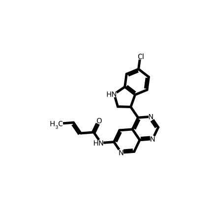 CC=CC(=O)Nc1cc2c(C3CNc4cc(Cl)ccc43)ncnc2cn1